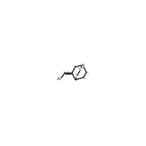 CC(=O)/C=C1/CN2CCC1CC2